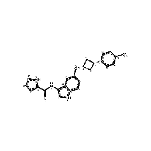 O=C(Nc1c[nH]c2ccc(O[C@H]3C[C@@H](c4ccc(C(F)(F)F)cc4)C3)cc12)c1ccn[nH]1